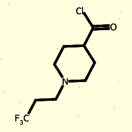 O=C(Cl)C1CCN(CCC(F)(F)F)CC1